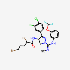 N#C/N=C(/Nc1cccc(OC(F)F)c1)N1CC(NC(=O)C(Br)CCCBr)C(c2ccc(Cl)c(Cl)c2)=N1